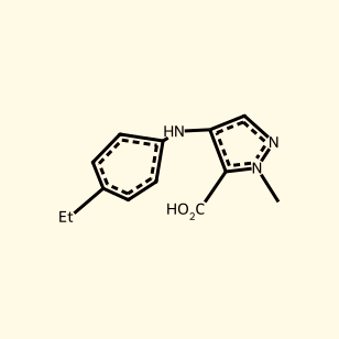 CCc1ccc(Nc2cnn(C)c2C(=O)O)cc1